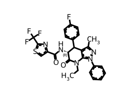 CCN1C(=O)[C@H](NC(=O)c2csc(C(F)(F)F)n2)C(c2ccc(F)cc2)c2c(C)nn(-c3ccccc3)c21